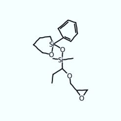 CCC(OCC1CO1)[Si](C)(C)O[Si]1(c2ccccc2)CCCCO1